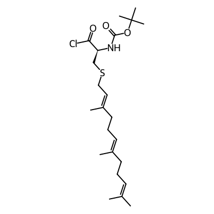 CC(C)=CCC/C(C)=C/CC/C(C)=C/CSC[C@H](NC(=O)OC(C)(C)C)C(=O)Cl